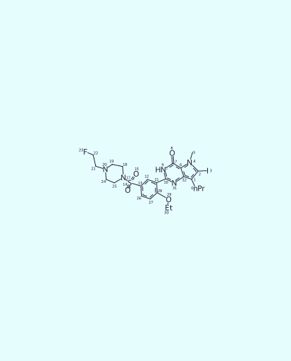 CCCc1c(I)n(C)c2c(=O)[nH]c(-c3cc(S(=O)(=O)N4CCN(CCF)CC4)ccc3OCC)nc12